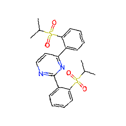 CC(C)S(=O)(=O)c1ccccc1-c1ccnc(-c2ccccc2S(=O)(=O)C(C)C)n1